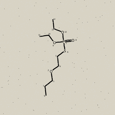 CCCOCCSP(=O)(OCC)OCC